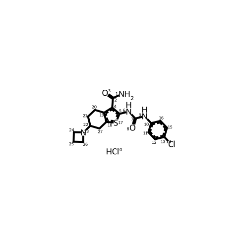 Cl.NC(=O)c1c(NC(=O)Nc2ccc(Cl)cc2)sc2c1CCC(N1CCC1)C2